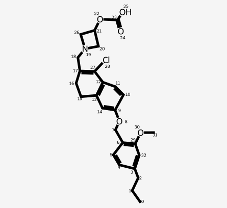 CCCc1ccc(COc2ccc3c(c2)CCC(CN2CC(OC(=O)O)C2)=C3Cl)c(OC)c1